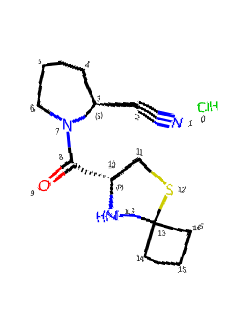 Cl.N#C[C@@H]1CCCN1C(=O)[C@@H]1CSC2(CCC2)N1